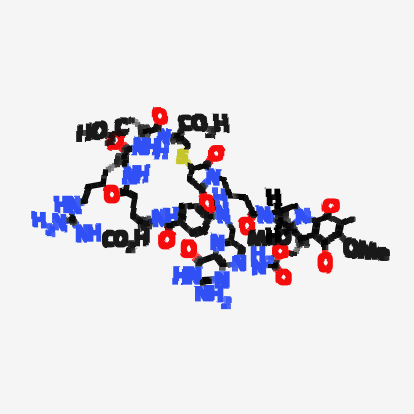 COC1=C(C)C(=O)C2=C(C1=O)[C@H](COC(N)=O)[C@]1(OC)[C@H]3[C@@H](CN21)N3C(=O)CCCN1C(=O)CC(SC[C@@H](NC(=O)[C@@H](CC(=O)O)NC(=O)[C@@H](CCCCNC(=N)N)NC(=O)CC[C@@H](NC(=O)c2ccc(NCc3cnc4nc(N)[nH]c(=O)c4n3)cc2)C(=O)O)C(=O)O)C1=O